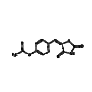 CC(=O)Oc1ccc(C=C2SC(=O)NC2=O)cc1